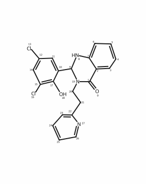 O=C1c2ccccc2NC(c2cc(Cl)cc(Cl)c2O)N1CCc1ccccn1